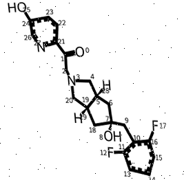 O=C(CN1C[C@@H]2C[C@](O)(Cc3c(F)cccc3F)C[C@@H]2C1)c1ccc(O)cn1